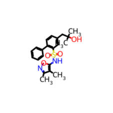 Cc1noc(NS(=O)(=O)c2cc(CC(C)(C)O)ccc2-c2ccccc2)c1C